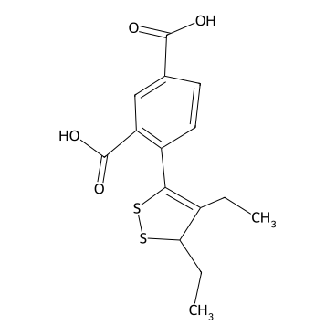 CCC1=C(c2ccc(C(=O)O)cc2C(=O)O)SSC1CC